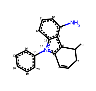 CC1CC=Cc2c1c1c(N)cccc1n2-c1ccccc1